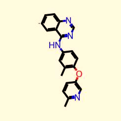 Cc1ccc(Oc2ccc(Nc3ncnc4cc[c]cc34)cc2C)cn1